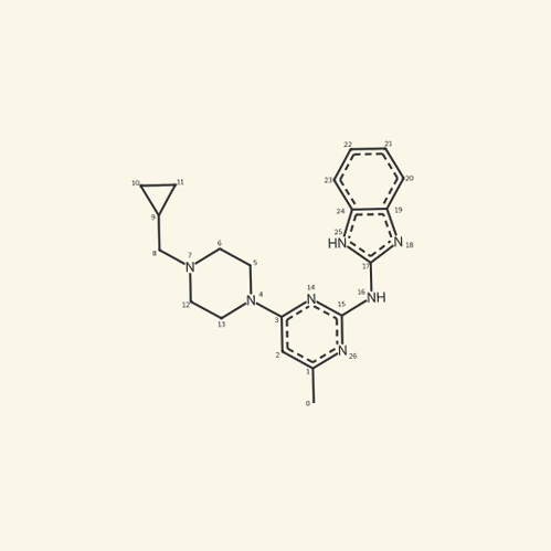 Cc1cc(N2CCN(CC3CC3)CC2)nc(Nc2nc3ccccc3[nH]2)n1